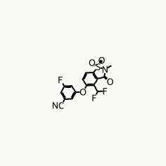 CN1C(=O)c2c(ccc(Oc3cc(F)cc(C#N)c3)c2C(F)F)S1(=O)=O